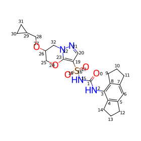 O=C(Nc1c2c(cc3c1CCC3)CCC2)NS(=O)(=O)c1cnn2c1OCC(OCC1CC1)C2